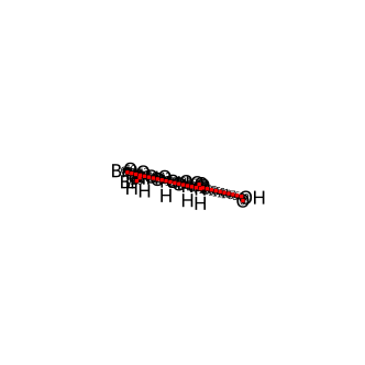 O=C(O)CCCCCCCCCCCCCCCCCCC(=O)N[C@@H](CCCCNC(=O)CCOCCOCCNC(=O)CCOCCOCCNC(=O)[C@H](CCCNC(=O)CBr)NC(=O)CBr)C(=O)O